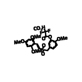 COc1cc(OC)c(C=CS(=O)(=O)Cc2ccc(OC)c(OC(=O)C(F)(F)C(=O)O)c2)c(OC)c1